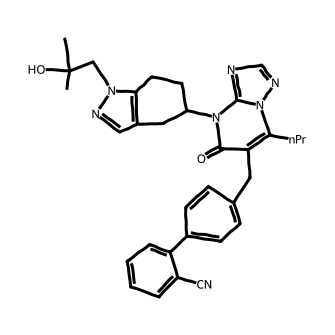 CCCc1c(Cc2ccc(-c3ccccc3C#N)cc2)c(=O)n(C2CCc3c(cnn3CC(C)(C)O)C2)c2ncnn12